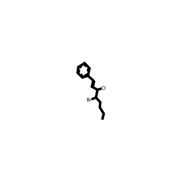 CCCCC(Br)C(Cl)C=Cc1ccccc1